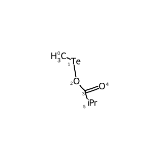 C[Te]OC(=O)C(C)C